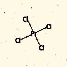 [Cl][Pr]([Cl])([Cl])[Cl]